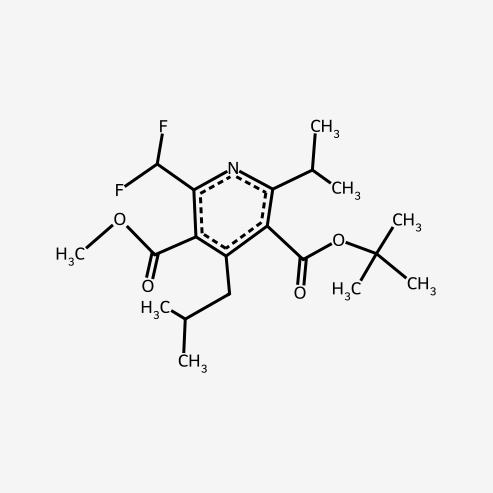 COC(=O)c1c(C(F)F)nc(C(C)C)c(C(=O)OC(C)(C)C)c1CC(C)C